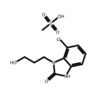 CS(=O)(=O)O.O=c1[nH]c2cccc(Cl)c2n1CCCO